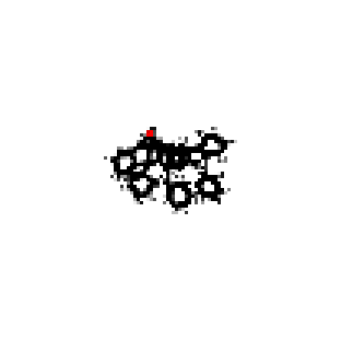 c1ccc(N2c3ccccc3C3(c4ccccc4-c4cccc(-c5ccc6c(c5)c5ccccc5n6-c5ccccc5)c43)c3ccccc32)cc1